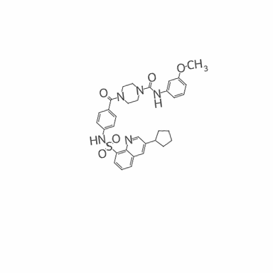 COc1cccc(NC(=O)N2CCN(C(=O)c3ccc(NS(=O)(=O)c4cccc5cc(C6CCCC6)cnc45)cc3)CC2)c1